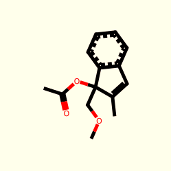 COCC1(OC(C)=O)C(C)=Cc2ccccc21